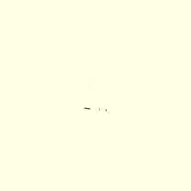 O=C(O)O.[Cl-].[Cl-].[Cl-].[Cl-].[Ni+2].[Zn+2]